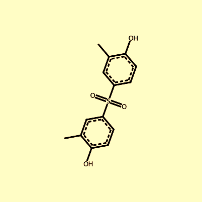 Cc1cc(S(=O)(=O)c2ccc(O)c(C)c2)ccc1O